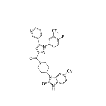 N#Cc1ccc2[nH]c(=O)n(C3CCN(C(=O)c4cc(-c5cccnc5)n(-c5ccc(F)c(C(F)(F)F)c5)n4)CC3)c2c1